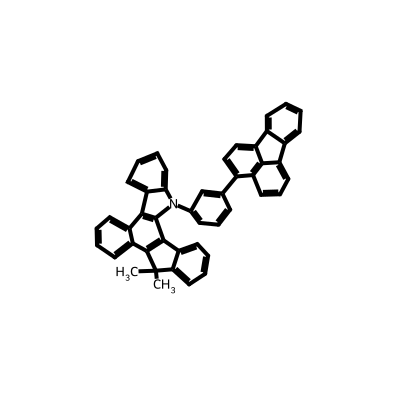 CC1(C)c2ccccc2-c2c1c1ccccc1c1c3ccccc3n(-c3cccc(-c4ccc5c6c(cccc46)-c4ccccc4-5)c3)c21